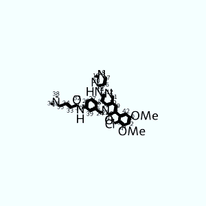 COc1cc(OC)c(Cl)c(-c2cc3cnc(Nc4ccncn4)cc3n(Cc3cccc(NC(=O)/C=C/CN(C)C)c3)c2=O)c1